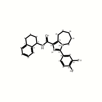 O=C(NC1CCCc2ccccc21)c1nc(-c2ccc(F)c(F)c2)n2c1CCCCC2